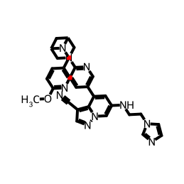 COc1ccc(CN2C3CC2CN(c2ccc(-c4cc(NCCn5ccnc5)cn5ncc(C#N)c45)cn2)C3)cn1